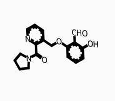 O=Cc1c(O)cccc1OCc1cccnc1C(=O)N1CCCC1